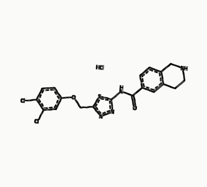 Cl.O=C(Nc1nnc(COc2ccc(Cl)c(Cl)c2)s1)c1ccc2c(c1)CCNC2